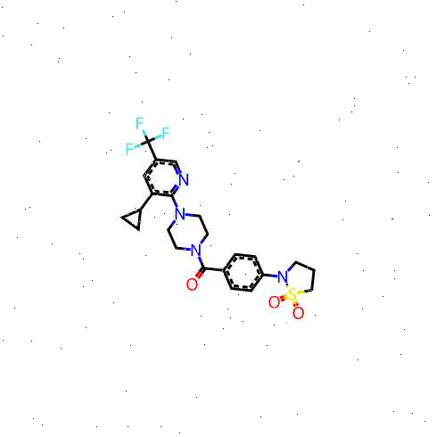 O=C(c1ccc(N2CCCS2(=O)=O)cc1)N1CCN(c2ncc(C(F)(F)F)cc2C2CC2)CC1